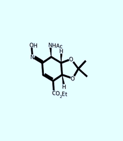 CCOC(=O)C1=C/C(=N/O)[C@@H](NC(C)=O)[C@@H]2OC(C)(C)O[C@H]12